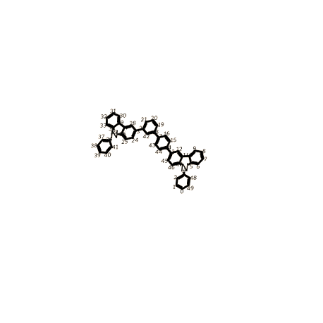 c1ccc(-n2c3ccccc3c3cc(-c4ccc(-c5cccc(-c6ccc7c(c6)c6ccccc6n7-c6ccccc6)c5)cc4)ccc32)cc1